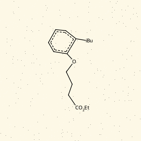 CCOC(=O)CCCOc1ccccc1C(C)CC